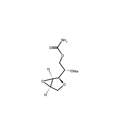 CO[C@@H](COC(N)=O)[C@H]1OC[C@H]2O[C@@H]12